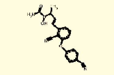 CC(C=Cc1cccc(Oc2ccc(C#N)cc2)c1C#N)N(O)C(N)=O